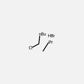 Br.CC(C)C.CCCCCCl